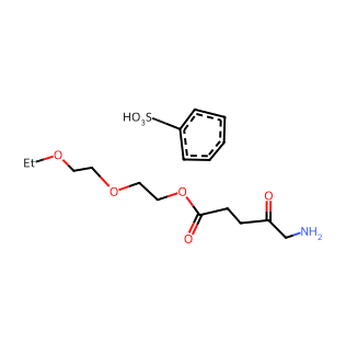 CCOCCOCCOC(=O)CCC(=O)CN.O=S(=O)(O)c1ccccc1